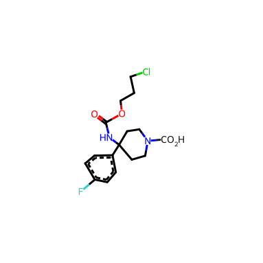 O=C(NC1(c2ccc(F)cc2)CCN(C(=O)O)CC1)OCCCCl